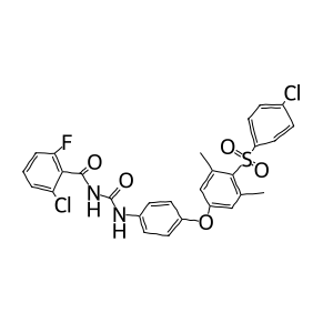 Cc1cc(Oc2ccc(NC(=O)NC(=O)c3c(F)cccc3Cl)cc2)cc(C)c1S(=O)(=O)c1ccc(Cl)cc1